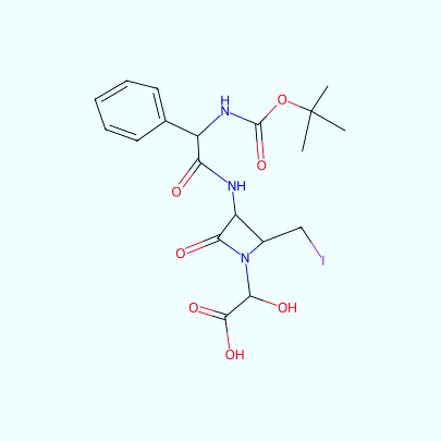 CC(C)(C)OC(=O)NC(C(=O)NC1C(=O)N(C(O)C(=O)O)C1CI)c1ccccc1